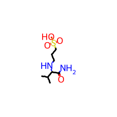 CC(C)[C@@H](NCCCS(=O)(=O)O)C(N)=O